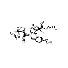 CCOC(=O)C(C)(C)c1csc(N(Cc2ccc(OC)cc2)C(=O)OC(C)(C)C)n1